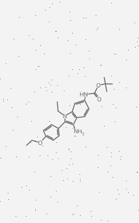 CCOc1ccc(-c2c(N)c3ccc(NC(=O)OC(C)(C)C)cc3n2CC)cc1